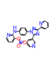 O=[N+]([O-])Oc1cccnc1Nc1ccc(-n2nc(-c3ccccn3)nc2-c2cccnc2)cc1